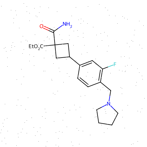 CCOC(=O)C1(C(N)=O)CC(c2ccc(CN3CCCC3)c(F)c2)C1